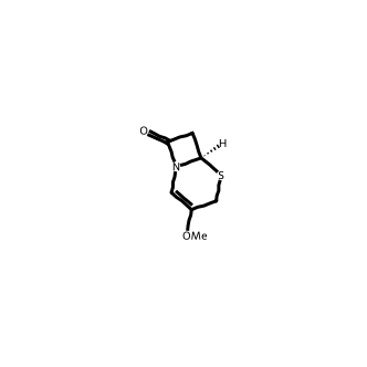 COC1=CN2C(=O)C[C@H]2SC1